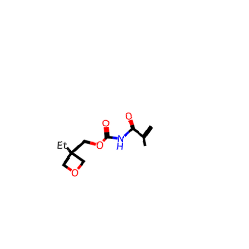 C=C(C)C(=O)NC(=O)OCC1(CC)COC1